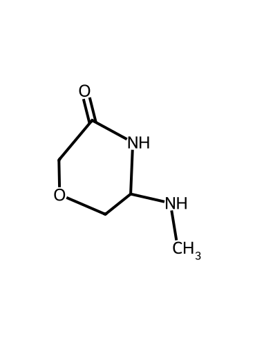 CNC1COCC(=O)N1